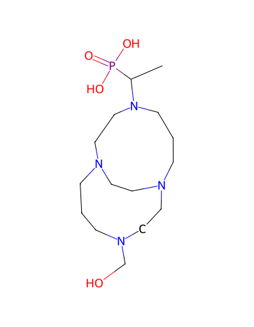 CC(N1CCCN2CCN(CO)CCCN(CC2)CC1)P(=O)(O)O